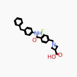 O=C(Nc1ccc(Cc2ccccc2)cc1)c1ccc(CN2CC(C(=O)O)C2)cc1F